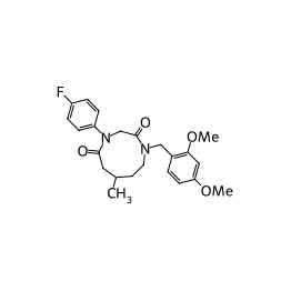 COc1ccc(CN2CCC(C)CC(=O)N(c3ccc(F)cc3)CC2=O)c(OC)c1